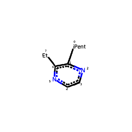 CCCC(C)c1nccnc1CC